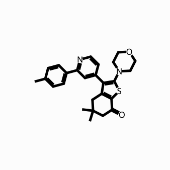 Cc1ccc(-c2cc(-c3c(N4CCOCC4)sc4c3CC(C)(C)CC4=O)ccn2)cc1